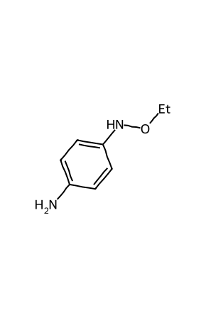 CCONc1ccc(N)cc1